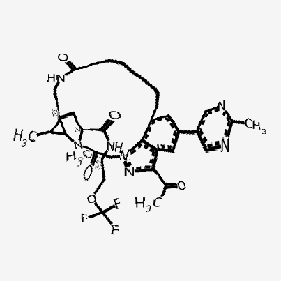 CC(=O)c1nn2c3c(cc(-c4cnc(C)nc4)cc13)CCCCCCC(=O)NC[C@@]13C[C@@H](C(=O)N[C@@H](C)COC(F)(F)F)N(C(=O)C2)C1C3C